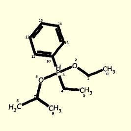 CCO[PH](CC)(OC(C)C)c1ccccc1